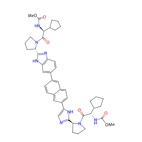 COC(=O)N[C@H](C(=O)N1CCC[C@H]1c1ncc(-c2ccc3cc(-c4ccc5nc([C@@H]6CCCN6C(=O)[C@@H](NC(=O)OC)C6CCCC6)[nH]c5c4)ccc3c2)[nH]1)C1CCCC1